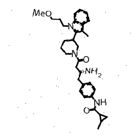 COCCCn1c(C2CCCN(C(=O)C[C@H](N)Cc3ccc(NC(=O)C4CC4C)cc3)C2)c(C)c2ccccc21